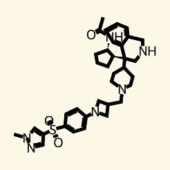 CC(=O)N[C@H]1CCC[C@@H]1C1(C2CCN(CC3CN(c4ccc(S(=O)(=O)c5cnn(C)c5)cc4)C3)CC2)CNCc2ccccc21